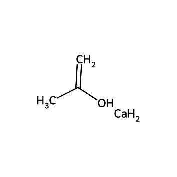 C=C(C)O.[CaH2]